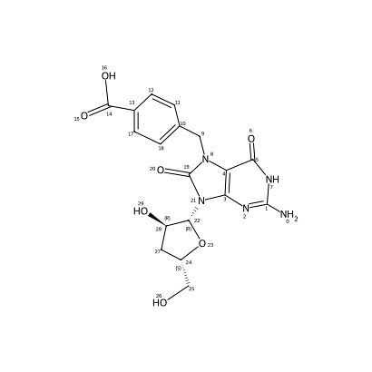 Nc1nc2c(c(=O)[nH]1)n(Cc1ccc(C(=O)O)cc1)c(=O)n2[C@@H]1O[C@H](CO)C[C@H]1O